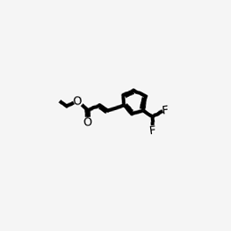 CCOC(=O)/C=C/c1cccc(C(F)F)c1